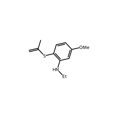 C=C(C)Sc1ccc(OC)cc1NCC